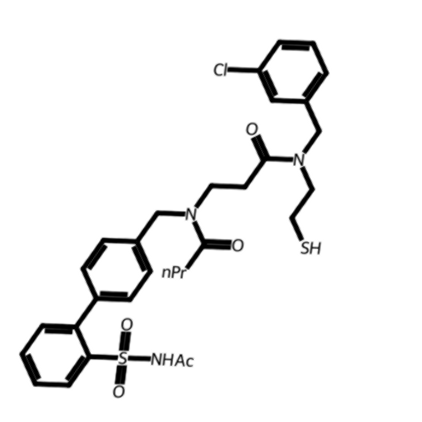 CCCC(=O)N(CCC(=O)N(CCS)Cc1cccc(Cl)c1)Cc1ccc(-c2ccccc2S(=O)(=O)NC(C)=O)cc1